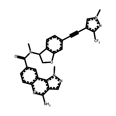 CN(C(=O)c1ccc2nc(N)c3cnn(C)c3c2c1)C1COc2cc(C#Cc3cn(C)nc3C(F)(F)F)ccc21